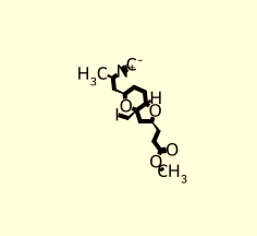 [C-]#[N+][C@H](C)C[C@H]1CC[C@@H]2O[C@@H](CCC(=O)OC)C[C@]2(CI)O1